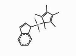 CC1=C(C)[C](C)([Zr]([I])([I])[CH]2C=Cc3ccccc32)C(C)=C1C